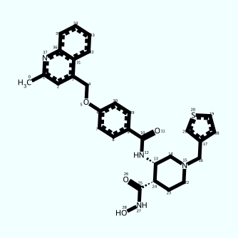 Cc1cc(COc2ccc(C(=O)N[C@@H]3CN(Cc4ccsc4)CC[C@@H]3C(=O)NO)cc2)c2ccccc2n1